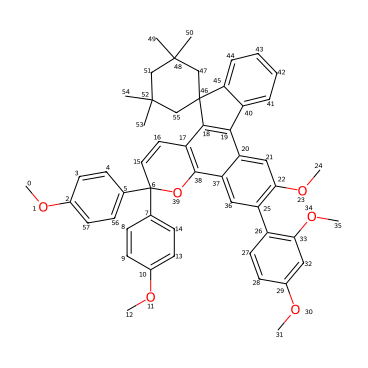 COc1ccc(C2(c3ccc(OC)cc3)C=Cc3c4c(c5cc(OC)c(-c6ccc(OC)cc6OC)cc5c3O2)-c2ccccc2C42CC(C)(C)CC(C)(C)C2)cc1